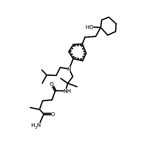 CC(C)CCN(CC(C)(C)NC(=O)[CH]CC(C)C(N)=O)c1ccc(CCC2(O)CCCCC2)cc1